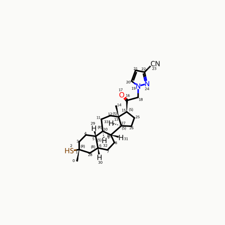 C[C@@]1(S)CC[C@H]2[C@H](CC[C@@H]3[C@@H]2CC[C@]2(C)[C@@H](C(=O)Cn4ccc(C#N)n4)CC[C@@H]32)C1